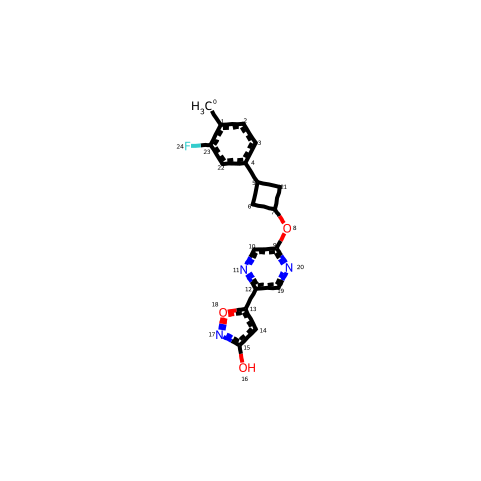 Cc1ccc(C2CC(Oc3cnc(-c4cc(O)no4)cn3)C2)cc1F